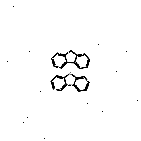 [CH]1c2ccccc2-c2ccccc21.c1ccc2c(c1)oc1ccccc12